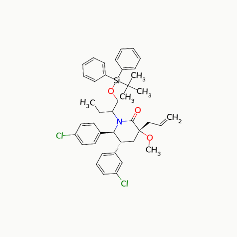 C=CC[C@@]1(OC)C[C@H](c2cccc(Cl)c2)[C@@H](c2ccc(Cl)cc2)N(C(CC)CO[Si](c2ccccc2)(c2ccccc2)C(C)(C)C)C1=O